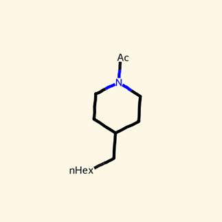 CCCCCCCC1CCN(C(C)=O)CC1